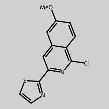 COc1ccc2c(Cl)nc(-c3nccs3)cc2c1